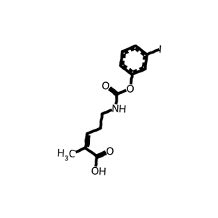 CC(=CCCNC(=O)Oc1cccc(I)c1)C(=O)O